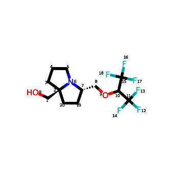 OC[C@@]12CCCN1[C@H](COC(C(F)(F)F)C(F)(F)F)CC2